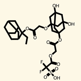 CCC1(OC(=O)COC23CC4(O)CC(O)(C2)CC(OC(=O)COC(=O)C(F)(F)S(=O)(=O)O)(C4)C3)C2CC3CC(C2)CC1C3